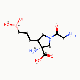 NCC(=O)N1C[C@H](CCCB(O)O)[C@](N)(C(=O)O)C1